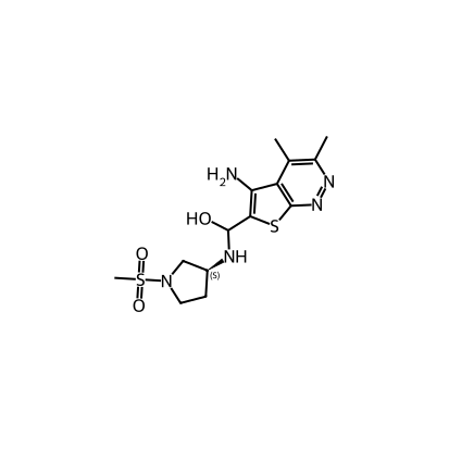 Cc1nnc2sc(C(O)N[C@H]3CCN(S(C)(=O)=O)C3)c(N)c2c1C